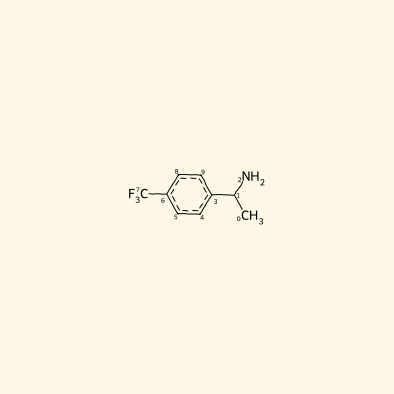 CC(N)c1ccc(C(F)(F)F)cc1